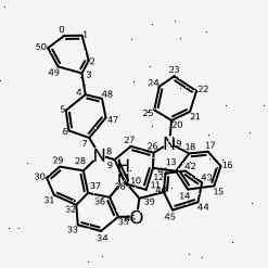 c1ccc(-c2ccc(N(c3ccc4c5ccccc5n(-c5ccccc5)c4c3)c3cccc4ccc5c(c34)NC(c3ccccc3)O5)cc2)cc1